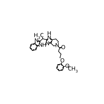 COc1ccccc1OCCCC(=O)N1CCc2[nH]c(C(C)c3nc4ccccc4[nH]3)nc2C1